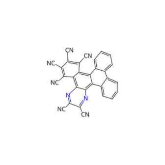 N#Cc1nc2c(nc1C#N)c1c3ccccc3c3ccccc3c1c1c(C#N)c(C#N)c(C#N)c(C#N)c21